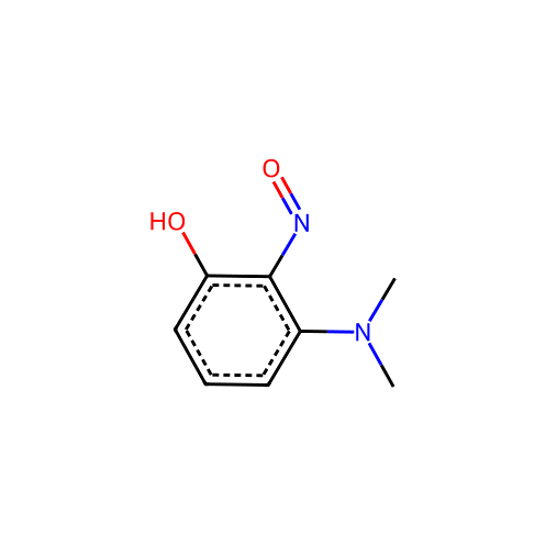 CN(C)c1cccc(O)c1N=O